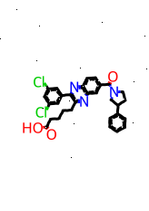 O=C(O)CCCCc1nc2cc(C(=O)N3CCC(c4ccccc4)C3)ccc2nc1-c1cc(Cl)cc(Cl)c1